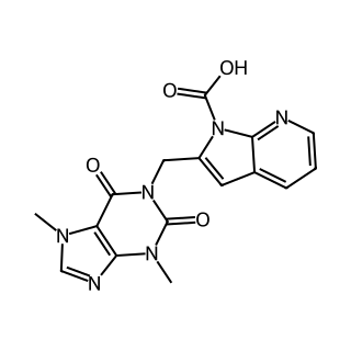 Cn1cnc2c1c(=O)n(Cc1cc3cccnc3n1C(=O)O)c(=O)n2C